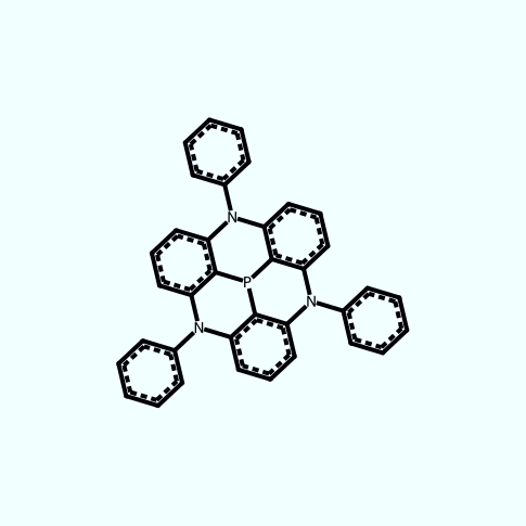 c1ccc(N2c3cccc4c3P3c5c2cccc5N(c2ccccc2)c2cccc(c23)N4c2ccccc2)cc1